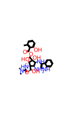 Cc1cccc(O)c1C(=O)OC[C@@]1(O)[C@@H](Nc2c[nH]c3ccccc23)[C@H](N)[C@@](NC(=O)N(C)C)([C@H](C)O)[C@@]1(C)O